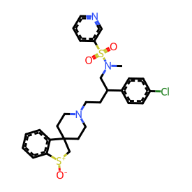 CN(CC(CCN1CCC2(CC1)C[S+]([O-])c1ccccc12)c1ccc(Cl)cc1)S(=O)(=O)c1cccnc1